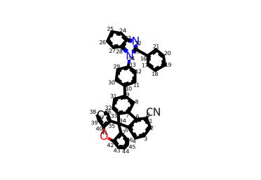 N#Cc1cccc2c1-c1cc(-c3ccc(-n4c(-c5ccccc5)nc5ccccc54)cc3)ccc1C21c2ccccc2Oc2ccccc21